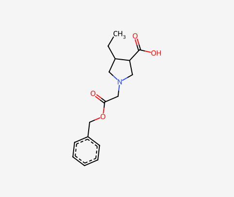 CCC1CN(CC(=O)OCc2ccccc2)CC1C(=O)O